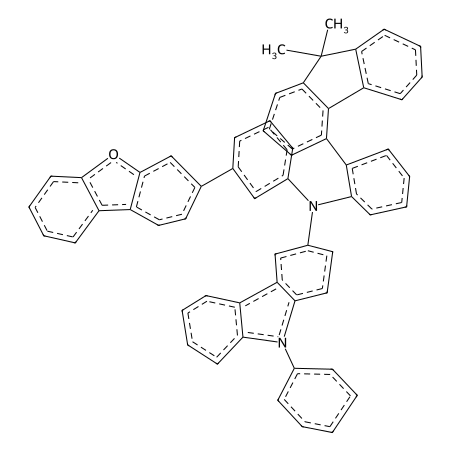 CC1(C)c2ccccc2-c2c(-c3ccccc3N(c3cccc(-c4ccc5c(c4)oc4ccccc45)c3)c3ccc4c(c3)c3ccccc3n4-c3ccccc3)cccc21